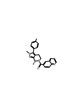 Cc1ccc(-c2c3c(nn2C)[C@H](C)N(C(=O)c2ccc4ncccc4c2)CC3)cc1